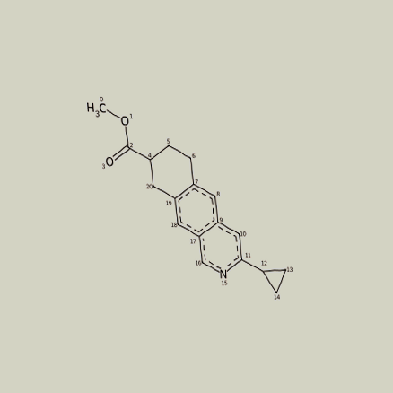 COC(=O)C1CCc2cc3cc(C4CC4)ncc3cc2C1